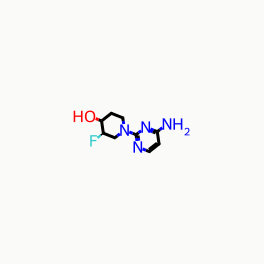 Nc1ccnc(N2CCC(O)[C@H](F)C2)n1